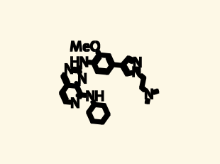 COc1cc(-c2cnn(CCN(C)C)c2)ccc1Nc1ncc2ccnc(NC3CCCCC3)c2n1